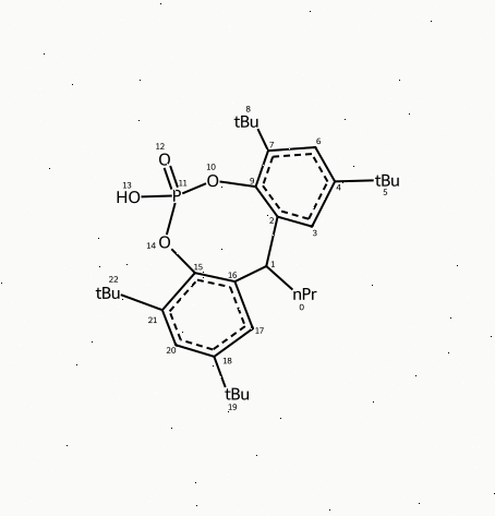 CCCC1c2cc(C(C)(C)C)cc(C(C)(C)C)c2OP(=O)(O)Oc2c1cc(C(C)(C)C)cc2C(C)(C)C